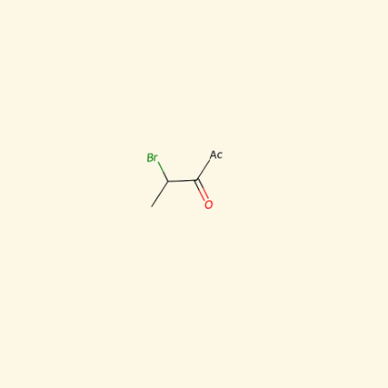 CC(=O)C(=O)C(C)Br